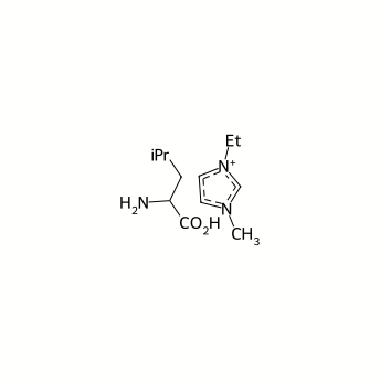 CC(C)CC(N)C(=O)O.CC[n+]1ccn(C)c1